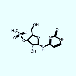 CS(=O)(=O)O[C@@H]1[C@@H](O)[C@H](Nc2cc[nH]c(=O)n2)O[C@@H]1CO